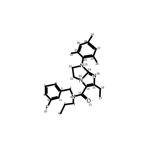 CCCN(Cc1cccc(F)c1)C(=O)c1c(CC)nc2n1CCN2c1c(C)cc(C)cc1C